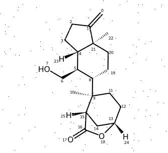 C=C1CC[C@H]2[C@H](CO)[C@@H]([C@@]3(C)CC[C@H]4C[C@@H]3C(=O)O4)CC[C@]12C